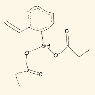 C=Cc1ccccc1[SiH](OC(=O)CC)OC(=O)CC